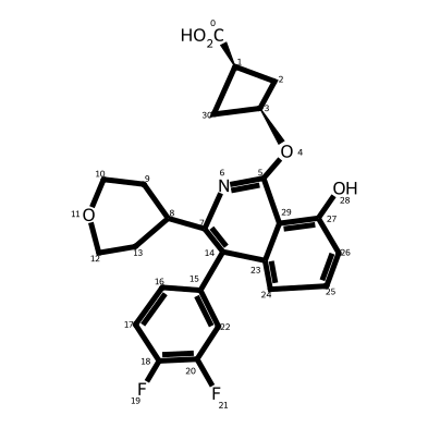 O=C(O)[C@H]1C[C@@H](Oc2nc(C3CCOCC3)c(-c3ccc(F)c(F)c3)c3cccc(O)c23)C1